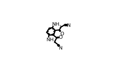 N#CCC(=O)c1c(N)ccc(N)c1C(=O)CC#N